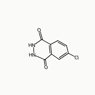 O=c1[nH][nH]c(=O)c2cc(Cl)ccc12